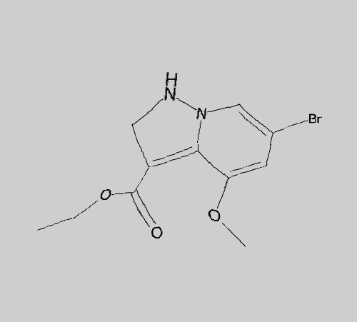 CCOC(=O)C1=C2C(OC)=CC(Br)=CN2NC1